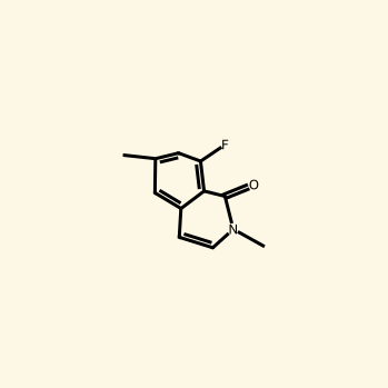 Cc1cc(F)c2c(=O)n(C)ccc2c1